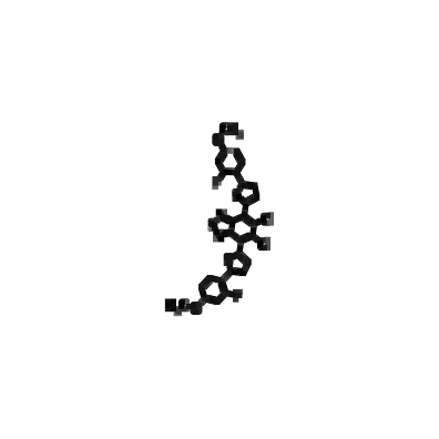 COc1ccc(-c2ccc(-c3c(Cl)c(Cl)c(-c4ccc(-c5ccc(OC)cc5F)s4)c4nsnc34)s2)c(F)c1